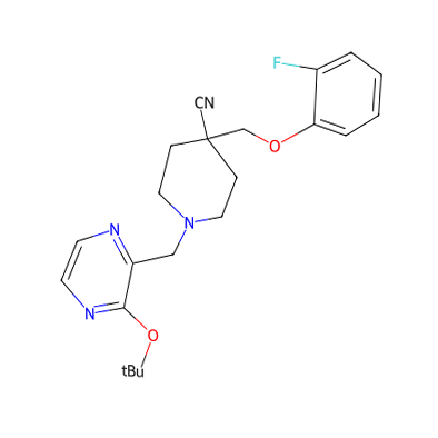 CC(C)(C)Oc1nccnc1CN1CCC(C#N)(COc2ccccc2F)CC1